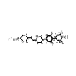 CCCCCC1CCC(CCC2CCC(c3cc(F)c(-c4cc(F)c(Cl)c(F)c4)c(F)c3)CC2)CC1